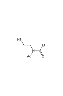 CCC(=O)N(CCS)C(C)=O